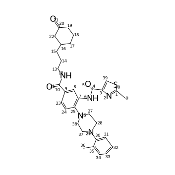 Cc1nc(C(=O)Nc2cc(C(=O)NCCCC3CCCC(=O)C3)ccc2N2CCN(c3ccccc3C)CC2)cs1